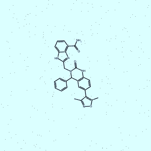 Cc1noc(C)c1-c1ccc2c(c1)C(c1ccccc1)N(Cc1nc3c(C(N)=O)cccc3[nH]1)C(=O)N2